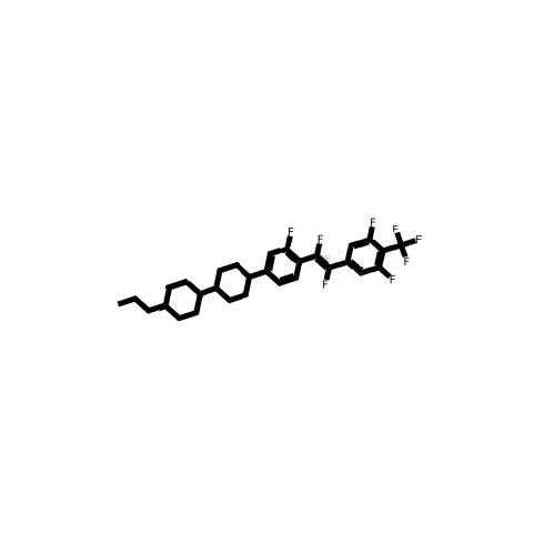 CCCC1CCC(C2CCC(c3ccc(/C(F)=C(\F)c4cc(F)c(C(F)(F)F)c(F)c4)c(F)c3)CC2)CC1